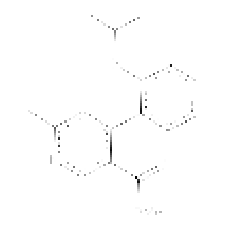 COC(=O)c1cnc(C)cc1-c1ccccc1OC(F)F